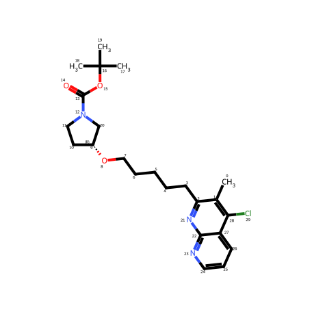 Cc1c(CCCCCO[C@@H]2CCN(C(=O)OC(C)(C)C)C2)nc2ncccc2c1Cl